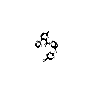 Cc1ccc(-n2nccn2)c(C(=O)N2CC3CC(Oc4ncc(Cl)cn4)C2C3)n1